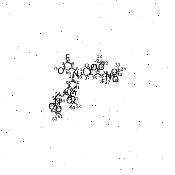 COc1cc(F)cc(CN(Cc2cccc(CC(C(=O)OC(C)(C)C)[C@H]3CCN(C(=O)OC(C)(C)C)C3)c2)Cc2cccc(CC(C(=O)OC(C)(C)C)[C@H]3CCN(C(=O)OC(C)(C)C)C3)c2)c1